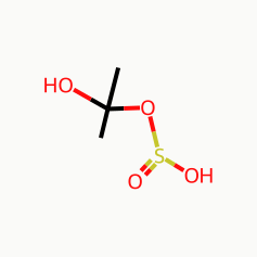 CC(C)(O)OS(=O)O